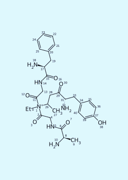 CC[N+](C(=O)CNC(=O)[C@@H](C)N)(C(=O)CNC(=O)[C@@H](N)Cc1ccccc1)C(C)CC(=O)[C@@H](N)Cc1ccc(O)cc1